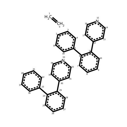 C=C.c1ccc(-c2ccccc2-c2ccncc2)cc1.c1ccc(-c2ccccc2-c2ccncc2)cc1